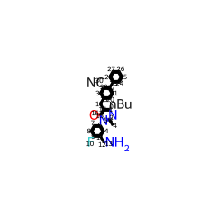 CCCCc1nc(C)n(-c2ccc(F)c(CN)c2)c(=O)c1Cc1ccc(-c2ccccc2)c(C#N)c1